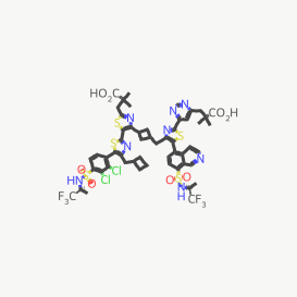 C[C@H](NS(=O)(=O)c1ccc(-c2sc(-c3sc(CC(C)(C)C(=O)O)nc3C3CC(Cc4nc(-c5cc(CC(C)(C)C(=O)O)ncn5)sc4-c4ccc(S(=O)(=O)N[C@@H](C)C(F)(F)F)c5cnccc45)C3)nc2CC2CCC2)c(Cl)c1Cl)C(F)(F)F